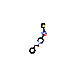 O=C(Cc1ccccc1)N1CCC(c2nc(-c3cccs3)no2)CC1